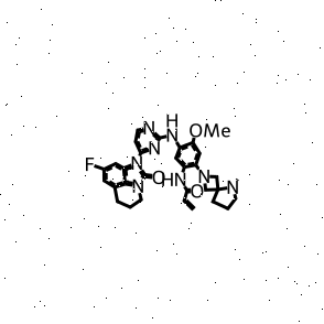 C=CC(=O)Nc1cc(Nc2nccc(-n3c(=O)n4c5c(cc(F)cc53)CCC4)n2)c(OC)cc1N1CC2(CCCN2C)C1